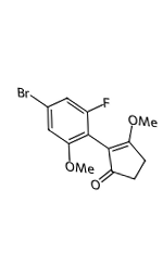 COC1=C(c2c(F)cc(Br)cc2OC)C(=O)CC1